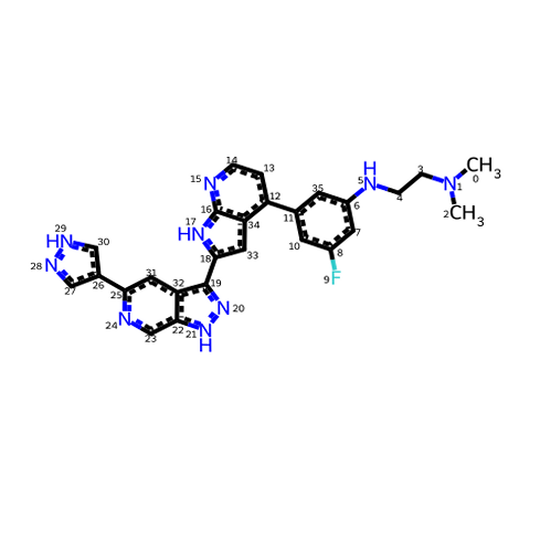 CN(C)CCNc1cc(F)cc(-c2ccnc3[nH]c(-c4n[nH]c5cnc(-c6cn[nH]c6)cc45)cc23)c1